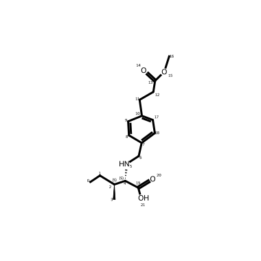 CC[C@H](C)[C@H](NCc1ccc(CCC(=O)OC)cc1)C(=O)O